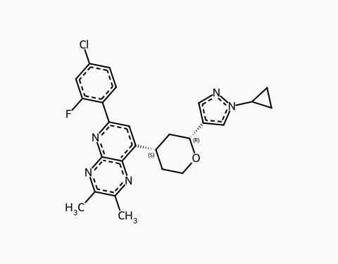 Cc1nc2nc(-c3ccc(Cl)cc3F)cc([C@H]3CCO[C@@H](c4cnn(C5CC5)c4)C3)c2nc1C